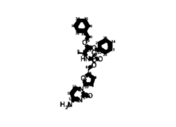 C[C@H](NP(=O)(OC[C@@H]1CC[C@H](n2ccc(N)nc2=O)O1)Oc1ccccc1)C(=O)OCc1ccccc1